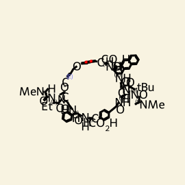 CC[C@H](NC(=O)[C@H](C)NC)C(=O)N1CC2CC1C(=O)N[C@@H](c1ccccc1)C(=O)N[C@H](C(=O)O)Cc1ccc(cc1)C(=O)N[C@H]1C[C@@H](C(=O)N[C@@H](Cc3ccc4ccccc4c3)C(=O)N[C@H](C(=O)O)Cc3ccc(cc3)OC/C=C/CO2)N(C(=O)[C@@H](NC(=O)[C@H](C)NC)C(C)(C)C)C1